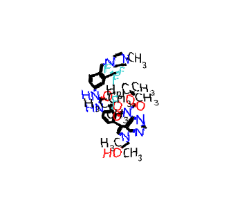 CN1CCN(Cc2ccc(NC(=O)Nc3ccc(-c4cn(CC(C)(C)O)c5ncnc(N(C(=O)OC(C)(C)C)C(=O)OC(C)(C)C)c45)cc3F)cc2C(F)(F)F)CC1